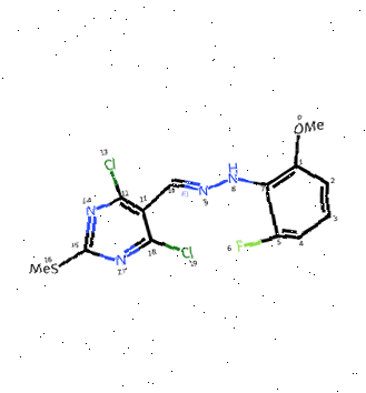 COc1cccc(F)c1N/N=C/c1c(Cl)nc(SC)nc1Cl